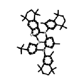 Cc1cc2c3c(c1)N(c1cc4c(cc1C)C(C)(C)CCC4(C)C)c1c(oc4cc5c(cc14)C(C)(C)CCC5(C)C)B3c1cc(C(C)(C)C)ccc1N2c1cc2c(cc1C)C(C)(C)CCC2(C)C